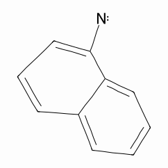 [N]c1cccc2ccccc12